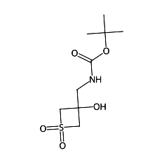 CC(C)(C)OC(=O)NCC1(O)CS(=O)(=O)C1